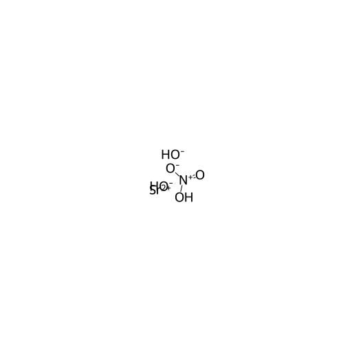 O=[N+]([O-])O.[OH-].[OH-].[Sr+2]